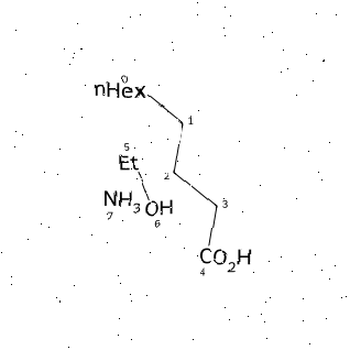 CCCCCCCCCC(=O)O.CCO.N